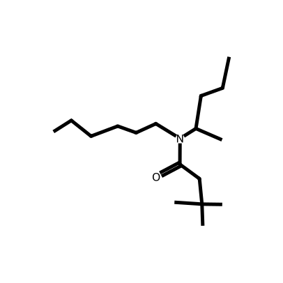 CCCCCCN(C(=O)CC(C)(C)C)C(C)CCC